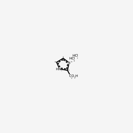 Cl.Cl.O=C(O)c1ncc[nH]1